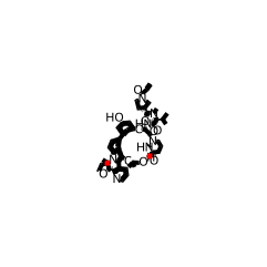 C=CC(=O)N1CC[C@H](C(=O)N(C)[C@H](C(=O)N[C@H]2Cc3cc(O)cc(c3)-c3ccc4c(c3)c(c(-c3cccnc3[C@@H]3CCCO3)n4CC)CC(C)(C)COC(=O)[C@@H]3CCCN(N3)C2=O)C(C)C)C1